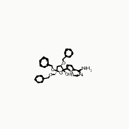 Nc1ncnn2c(C3(O)O[C@@](COCc4ccccc4)(OCc4ccccc4)C[C@H]3OCc3ccccc3)ccc12